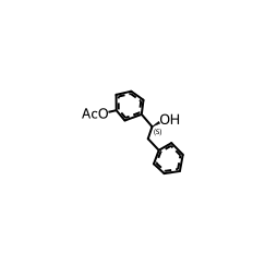 CC(=O)Oc1cccc([C@@H](O)Cc2ccccc2)c1